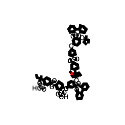 CCC(C)(CC)Oc1ccc(Oc2ccc(S(=O)(=O)c3ccc(C(CC)(CC)C(C)(CC)Oc4ccc(Oc5ccc(S(=O)(=O)c6ccc(C(C)(C)CC)c(S(=O)(=O)O)c6)cc5S(=O)(=O)O)cc4P4(=O)Oc5ccccc5-c5ccccc54)cc3)cc2)cc1P1(=O)Oc2ccccc2-c2ccccc21